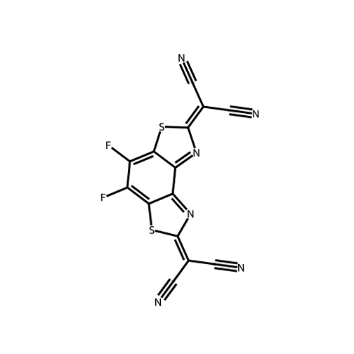 N#CC(C#N)=c1nc2c(s1)c(F)c(F)c1sc(=C(C#N)C#N)nc12